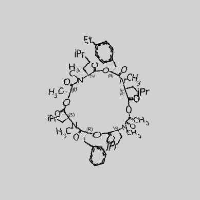 CCc1ccc(C[C@H]2OC(=O)[C@H](CCC(C)C)N(C)C(=O)[C@@H](C)OC(=O)[C@H](CC(C)C)N(C)C(=O)[C@@H](Cc3ccccc3)OC(=O)[C@H](CC(C)C)N(C)C(=O)[C@@H](C)OC(=O)[C@H](CC(C)C)N(C)C2=O)cc1